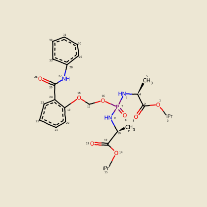 CC(C)OC(=O)[C@H](C)NP(=O)(N[C@@H](C)C(=O)OC(C)C)OCOc1ccccc1C(=O)Nc1ccccc1